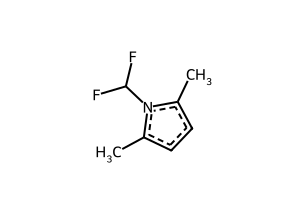 Cc1ccc(C)n1C(F)F